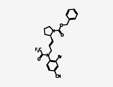 N#Cc1ccc(N(CC=C[C@H]2CCCN2C(=O)OCc2ccccc2)C(=O)C(F)(F)F)c(Br)c1